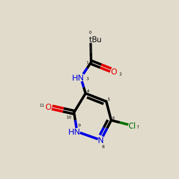 CC(C)(C)C(=O)Nc1cc(Cl)n[nH]c1=O